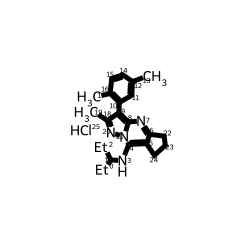 CCC(CC)Nc1c2c(nc3c(-c4cc(C)ccc4C)c(C)nn13)CCC2.Cl